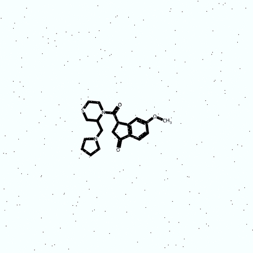 COc1ccc2c(c1)C(C(=O)N1CCSCC1CN1CCCC1)CC2=O